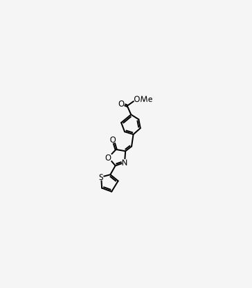 COC(=O)c1ccc(C=C2N=C(c3cccs3)OC2=O)cc1